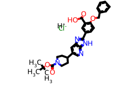 CC(C)(C)OC(=O)N1CCC(c2cnc3[nH]c(-c4ccc(OCc5ccccc5)c(C(=O)O)c4)nc3c2)CC1.[Cl-].[H+]